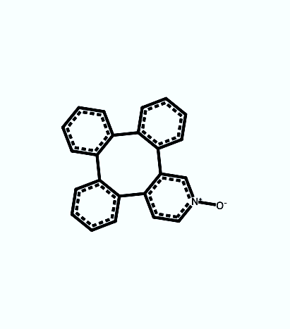 [O-][n+]1ccc2c(c1)-c1ccccc1-c1ccccc1-c1ccccc1-2